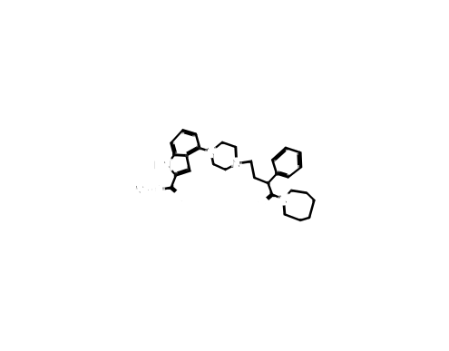 COC(=O)c1cc2c(N3CCN(CCC(C(=O)N4CCCCCC4)c4ccccc4)CC3)cccc2[nH]1